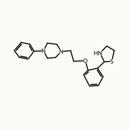 c1ccc(N2CCN(CCOc3ccccc3C3NCCS3)CC2)cc1